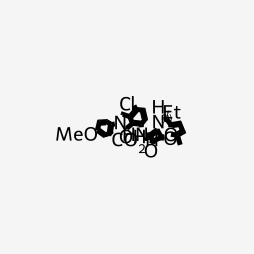 CC[C@@H](Nc1c(Nc2ccc(Cl)c3c2C(O)N(c2ccc(OC)cc2C(=O)O)C3)c(=O)c1=O)c1ccc(C)o1